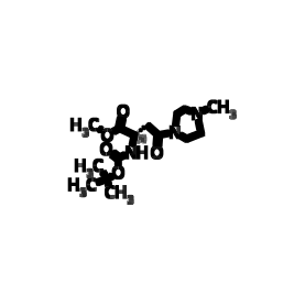 COC(=O)[C@H](CC(=O)N1CCN(C)CC1)NC(=O)OC(C)(C)C